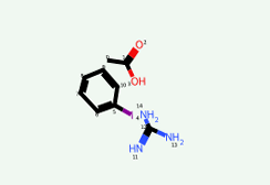 CC(=O)O.Ic1ccccc1.N=C(N)N